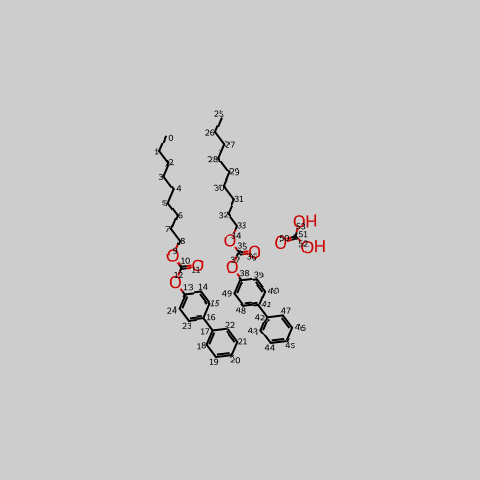 CCCCCCCCCOC(=O)Oc1ccc(-c2ccccc2)cc1.CCCCCCCCCOC(=O)Oc1ccc(-c2ccccc2)cc1.O=C(O)O